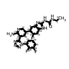 CCNC(=O)Nc1nc2cc(-c3cnc(N)c(-c4nnnn4-c4cccc(F)c4F)c3)c(F)cc2[nH]1